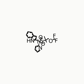 CC(C)(COC(F)F)S(=O)(=O)N(c1ccccn1)c1cc2ccccc2[nH]1